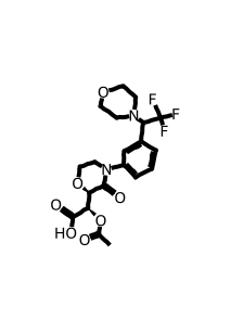 CC(=O)O[C@@H](C(=O)O)[C@H]1OCCN(c2cccc(C(N3CCOCC3)C(F)(F)F)c2)C1=O